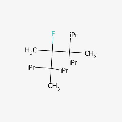 CC(C)C(C)(C(C)C)C(C)(F)C(C)(C(C)C)C(C)C